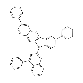 c1ccc(-c2ccc3cc4c(cc3c2)c2cc(-c3ccccc3)ccc2n4-c2nc(-c3ccccc3)c3ccccc3n2)cc1